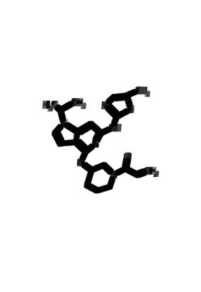 C=CC(=O)N1CCCC(Oc2nc(Nc3ncc(C)s3)cc3c2ccn3C(C)C)C1